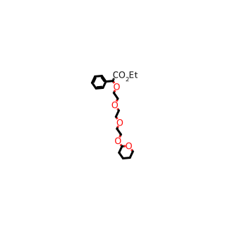 CCOC(=O)C(OCCOCCOCCOC1CCCCO1)c1ccccc1